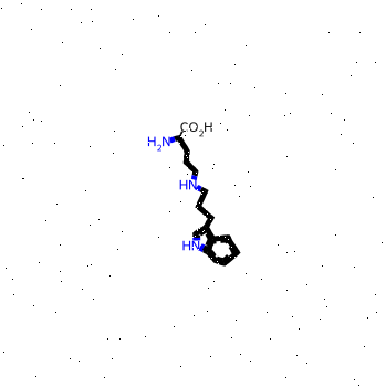 N[C@@H](CCCNCCCc1c[nH]c2ccccc12)C(=O)O